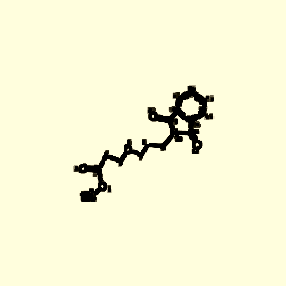 CC(C)(C)OC(=O)CCOCCCN1C(=O)c2ccccc2C1=O